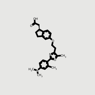 Cc1cc(N(C)C)ccc1-c1nc(CCOc2ccc3c(c2)CC[C@H]3CC(=O)O)c(C)o1